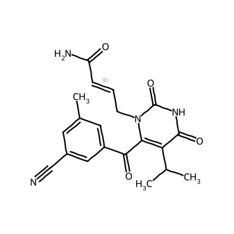 Cc1cc(C#N)cc(C(=O)c2c(C(C)C)c(=O)[nH]c(=O)n2C/C=C/C(N)=O)c1